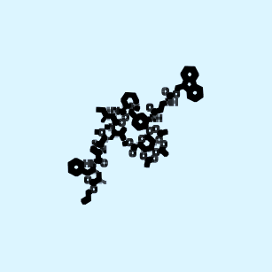 C=CCOC(=O)[C@@H](C)C[C@H](Cc1ccccc1)NC(=O)c1csc([C@@H](C[C@H](C(C)C)N(C)C(=O)[C@@H](NC(=O)[C@H]2CCCC[N+]2(C)Cc2ccc(O[C@@H]3O[C@H](C(=O)OC)[C@@H](OC(C)=O)[C@H](OC(C)=O)[C@H]3OC(C)=O)c(NC(=O)CCNC(=O)OCC3c4ccccc4-c4ccccc43)c2)[C@@H](C)CC)OC)n1